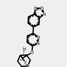 c1cc2nonc2cc1-c1ccc(O[C@H]2CN3CCC2CC3)nn1